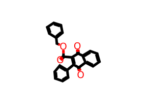 O=C(OCc1ccccc1)C1=C(c2ccccc2)C(=O)c2ccccc2C1=O